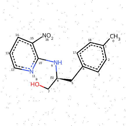 Cc1ccc(C[C@@H](CO)Nc2ncccc2[N+](=O)[O-])cc1